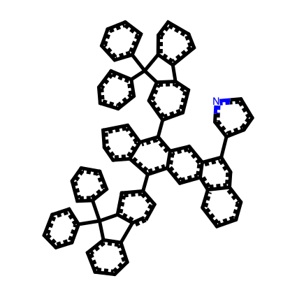 c1ccc(C2(c3ccccc3)c3ccccc3-c3ccc(-c4c5ccccc5c(-c5ccc6c(c5)C(c5ccccc5)(c5ccccc5)c5ccccc5-6)c5cc6c(cc45)c(-c4cccnc4)cc4ccccc46)cc32)cc1